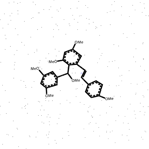 COc1ccc(/C=C/c2cc(OC)cc(OC)c2C(OC)c2cc(OC)cc(OC)c2)cc1